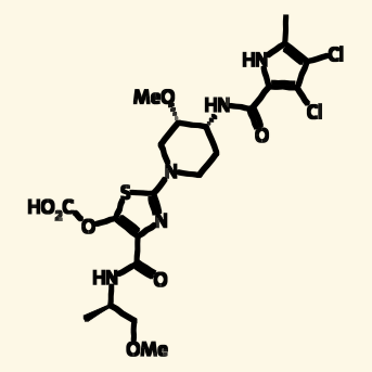 COC[C@@H](C)NC(=O)c1nc(N2CC[C@@H](NC(=O)c3[nH]c(C)c(Cl)c3Cl)[C@@H](OC)C2)sc1OC(=O)O